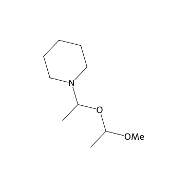 COC(C)OC(C)N1CCCCC1